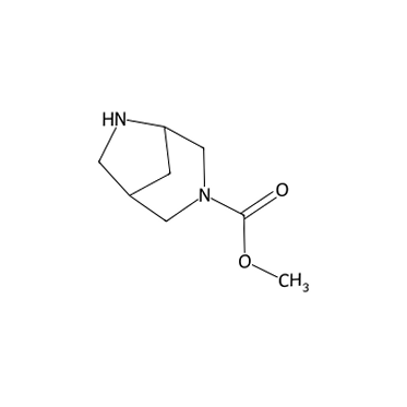 COC(=O)N1CC2CNC(C2)C1